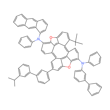 CC(C)c1cccc(-c2cccc(-c3cc4oc5c(N(c6ccccc6)c6cccc(-c7ccccc7)c6)ccc6c7c(C(C)(C)C)ccc8oc9c(N(c%10ccccc%10)c%10cccc%11cc%12ccccc%12cc%10%11)ccc(c(c3)c4c56)c9c87)c2)c1